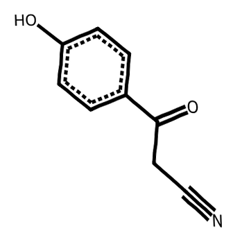 N#CCC(=O)c1ccc(O)cc1